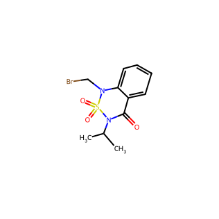 CC(C)N1C(=O)c2ccccc2N(CBr)S1(=O)=O